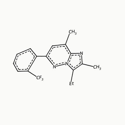 CCc1c(C)nc2c(C)cc(-c3ccccc3C(F)(F)F)nn12